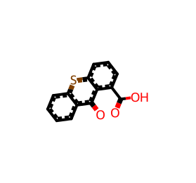 O=C(O)c1cccc2sc3ccccc3c(=O)c12